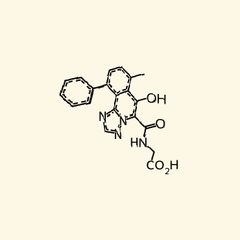 Cc1ccc(-c2ccccc2)c2c1c(O)c(C(=O)NCC(=O)O)n1ncnc21